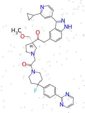 COC[C@@]1(C(=O)Cc2ccc3[nH]nc(-c4ccnc(C5CC5)c4)c3c2)CCN(CC(=O)N2CCC(F)(c3ccc(-c4ncccn4)cc3)CC2)C1